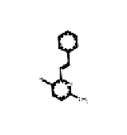 Cc1ccc(Cl)c(C=Cc2ccccc2)n1